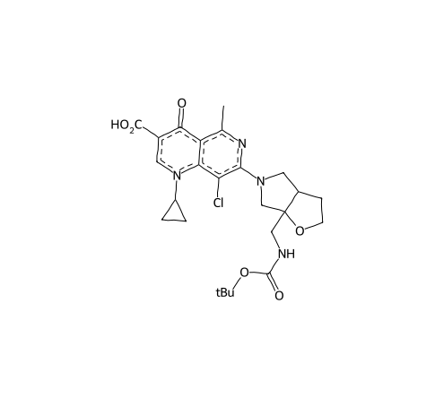 Cc1nc(N2CC3CCOC3(CNC(=O)OC(C)(C)C)C2)c(Cl)c2c1c(=O)c(C(=O)O)cn2C1CC1